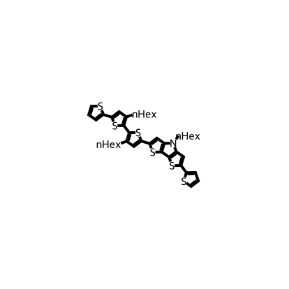 CCCCCCc1cc(-c2cccs2)sc1-c1sc(-c2cc3c(s2)c2sc(-c4cccs4)cc2n3CCCCCC)cc1CCCCCC